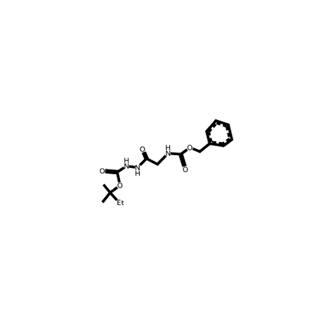 CCC(C)(C)OC(=O)NNC(=O)CNC(=O)OCc1ccccc1